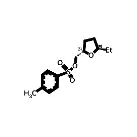 CC[C@@H]1CC[C@@H](COS(=O)(=O)c2ccc(C)cc2)O1